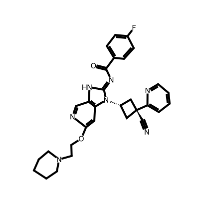 N#C[C@]1(c2ccccn2)C[C@@H](n2/c(=N/C(=O)c3ccc(F)cc3)[nH]c3cnc(OCCN4CCCCC4)cc32)C1